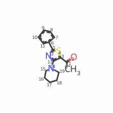 CC(=O)c1sc(-c2ccccc2)nc1N1CCCCC1